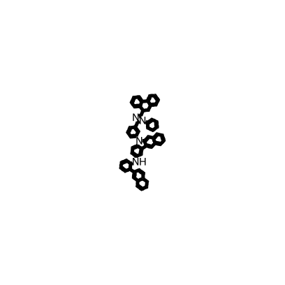 C1=CCCC(N2C(C3Cc4ccccc4-c4ccccc43)=NC2c2cccc(-n3c4ccc(NC5C=CC=CC5C5=CC6C=CCCC6C=C5)cc4c4cc5ccccc5cc43)c2)=C1